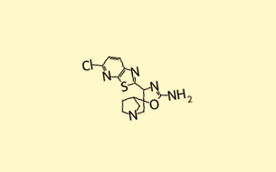 NC1=NC(c2nc3ccc(Cl)nc3s2)C2(CN3CCC2C3)O1